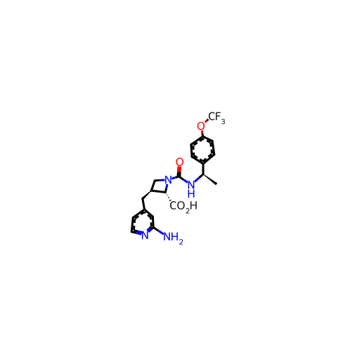 C[C@@H](NC(=O)N1C[C@H](Cc2ccnc(N)c2)[C@H]1C(=O)O)c1ccc(OC(F)(F)F)cc1